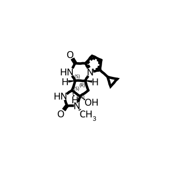 CN1C(=O)N[C@H]2[C@@H]3NC(=O)c4ccc(C5CC5)n4[C@@H]3C[C@]21O